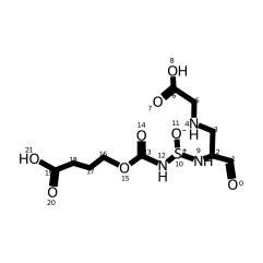 O=CC(CNCC(=O)O)N[S+]([O-])NC(=O)OCCCC(=O)O